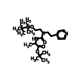 CC(NC(=O)N(CCO[Si](C)(C)C(C)(C)C)CCc1ccncc1)C(=O)OC(C)(C)C